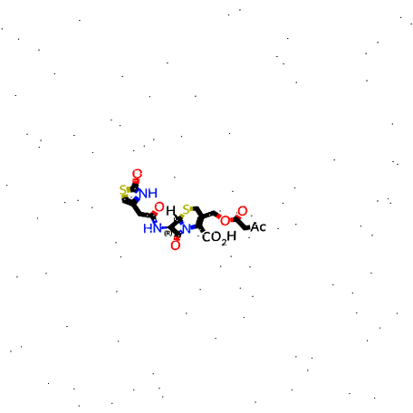 CC(=O)CC(=O)OCC1=C(C(=O)O)N2C(=O)[C@@H](NC(=O)Cc3csc(=O)[nH]3)[C@H]2SC1